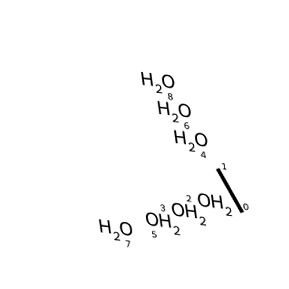 CC.O.O.O.O.O.O.O